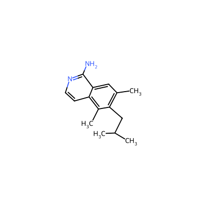 Cc1cc2c(N)nccc2c(C)c1CC(C)C